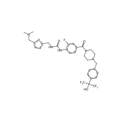 CN(C)Cc1ccc(CNC(=O)Nc2ccc(C(=O)N3CCN(Cc4ccc(C(O)(C(F)(F)F)C(F)(F)F)cc4)CC3)cc2F)o1